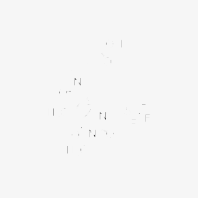 CCn1c(=O)c2c(C)c(C(=O)N3CCC(CC(=O)O)CC3)sc2n(CCSC(F)(F)F)c1=O